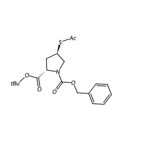 CC(=O)S[C@@H]1C[C@@H](C(=O)OC(C)(C)C)N(C(=O)OCc2ccccc2)C1